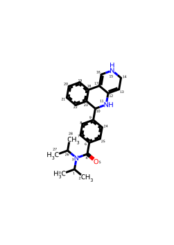 CC(C)N(C(=O)c1ccc(C2NC3=CCNC=C3c3ccccc32)cc1)C(C)C